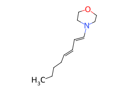 CCCCC=CC=CN1CCOCC1